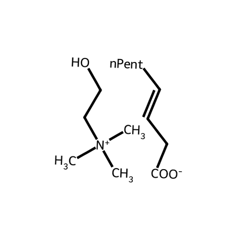 CCCCCC=CCC(=O)[O-].C[N+](C)(C)CCO